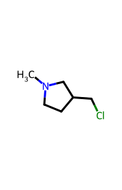 CN1CCC(CCl)C1